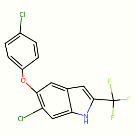 FC(F)(F)c1cc2cc(Oc3ccc(Cl)cc3)c(Cl)cc2[nH]1